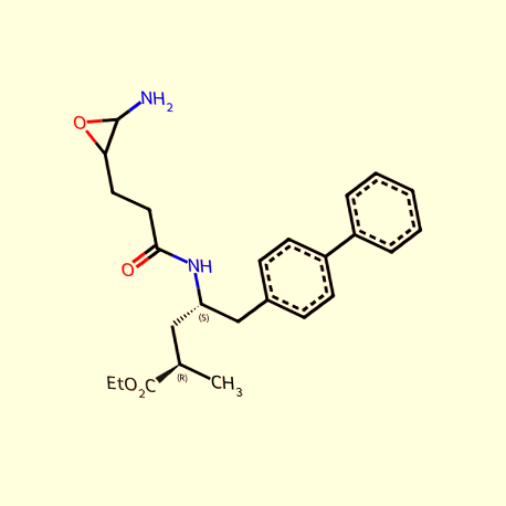 CCOC(=O)[C@H](C)C[C@@H](Cc1ccc(-c2ccccc2)cc1)NC(=O)CCC1OC1N